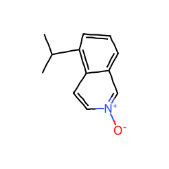 CC(C)c1cccc2c[n+]([O-])ccc12